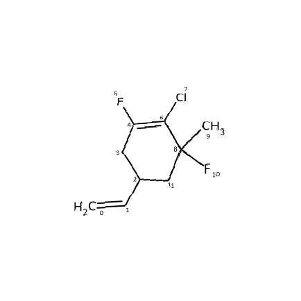 C=CC1CC(F)=C(Cl)C(C)(F)C1